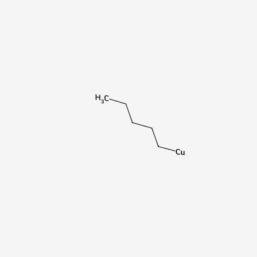 CCCC[CH2][Cu]